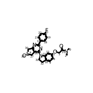 CN(C)C(=O)COc1ccc2c(c1)N(c1nc(-c3ccc(F)cc3)nc3c1C[S+]([O-])C3)CC2